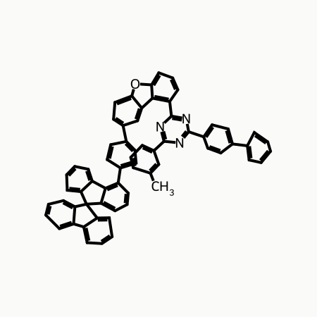 Cc1cccc(-c2nc(-c3ccc(-c4ccccc4)cc3)nc(-c3cccc4oc5ccc(-c6ccc(-c7cccc8c7-c7ccccc7C87c8ccccc8-c8ccccc87)cc6)cc5c34)n2)c1